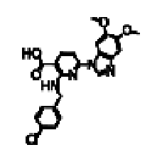 COc1cc2ncn(-c3ccc(C(=O)O)c(NCc4ccc(Cl)cc4)n3)c2cc1OC